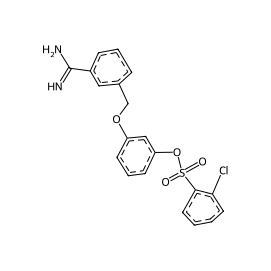 N=C(N)c1cccc(COc2cccc(OS(=O)(=O)c3ccccc3Cl)c2)c1